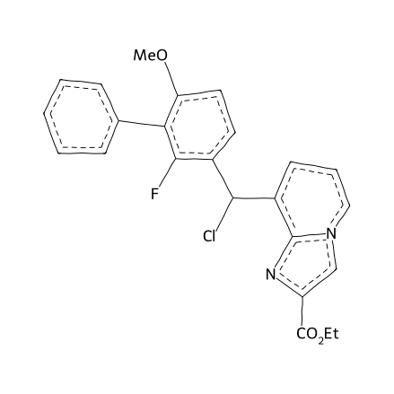 CCOC(=O)c1cn2cccc(C(Cl)c3ccc(OC)c(-c4ccccc4)c3F)c2n1